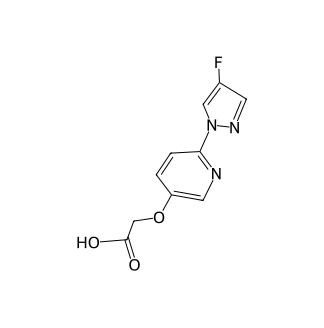 O=C(O)COc1ccc(-n2cc(F)cn2)nc1